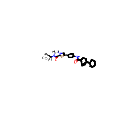 CC(C)C(NC(=O)C1SC(c2ccc(NC(=O)c3ccc(-c4ccccc4)cc3)cc2)=CN1C)C(=O)O